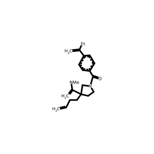 C=CCCC1(C(=C)NC)CCN(C(=O)c2ccc(C(=C)CC)cc2)C1